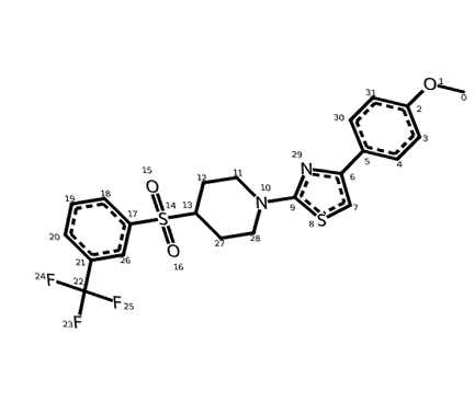 COc1ccc(-c2csc(N3CCC(S(=O)(=O)c4cccc(C(F)(F)F)c4)CC3)n2)cc1